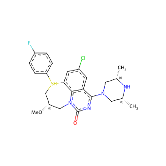 CO[C@H]1Cn2c(=O)nc(N3C[C@@H](C)N[C@@H](C)C3)c3cc(Cl)cc(c32)[SH](c2ccc(F)cc2)C1